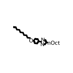 C=CCCCCCCCCOc1ccc(-c2ncc(CCCCCCCC)cn2)cc1